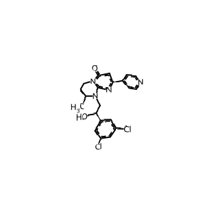 CC1CCn2c(nc(-c3ccncc3)cc2=O)N1CC(O)c1cc(Cl)cc(Cl)c1